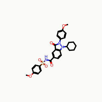 COc1ccc(-n2c(=O)c3cc(C(=O)NS(=O)(=O)c4ccc(OC)cc4)ccc3n2C2CCCCC2)cc1